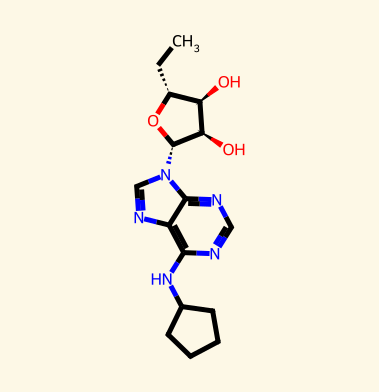 CC[C@H]1O[C@@H](n2cnc3c(NC4CCCC4)ncnc32)[C@H](O)[C@@H]1O